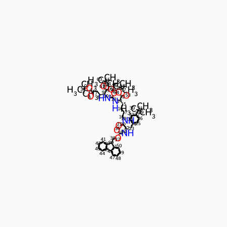 CC(C)(C)OC(=O)CC[C@H](NC(=O)N[C@@H](CCCCNC(=O)[C@H](Cc1ccc(C(C)(C)C)cc1)NC(=O)OCC1c2ccccc2-c2ccccc21)C(=O)OC(C)(C)C)C(=O)OC(C)(C)C